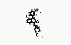 CN1CCN(CCC2C(=O)NC(c3cc(N)ccc3Cl)c3ccccc32)CC1